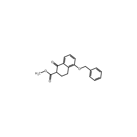 COC(=O)C1CCc2c(OCc3ccccc3)cccc2C1=O